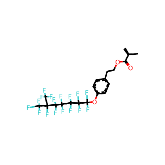 C=C(C)C(=O)OCCc1ccc(OC(F)(F)C(F)(F)C(F)(F)C(F)(F)C(F)(F)C(F)(C(F)(F)F)C(F)(F)F)cc1